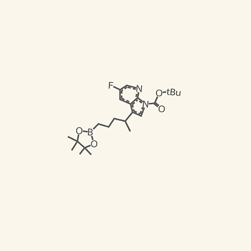 CC(CCCB1OC(C)(C)C(C)(C)O1)c1cn(C(=O)OC(C)(C)C)c2ncc(F)cc12